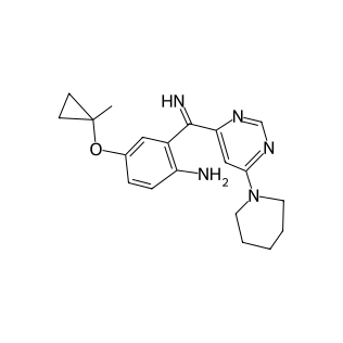 CC1(Oc2ccc(N)c(C(=N)c3cc(N4CCCCC4)ncn3)c2)CC1